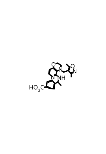 Cc1noc(C)c1CN1CCOc2ccnc(NC(C)c3ccc(C(=O)O)cc3)c21